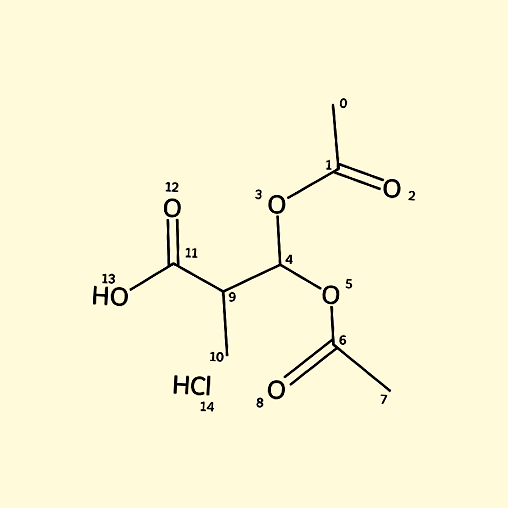 CC(=O)OC(OC(C)=O)C(C)C(=O)O.Cl